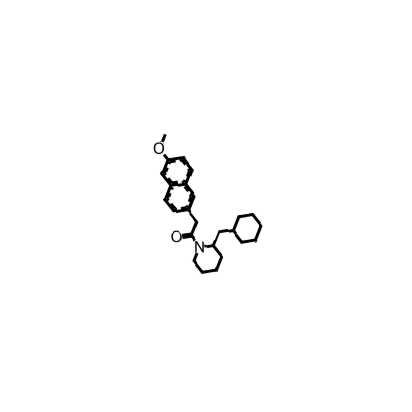 COc1ccc2cc(CC(=O)N3CCCCC3CC3CCCCC3)ccc2c1